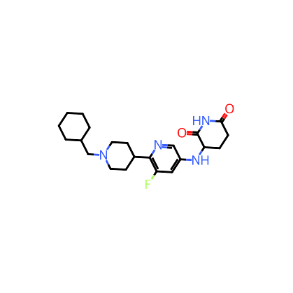 O=C1CCC(Nc2cnc(C3CCN(CC4CCCCC4)CC3)c(F)c2)C(=O)N1